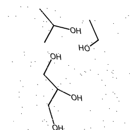 CC(C)O.CCO.OCC(O)CO